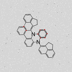 c1ccc(-c2cccc(N(c3ccccc3)c3ccc4cccc5c4c3CC5)c2N(c2ccccc2)c2ccc3cccc4c3c2CC4)cc1